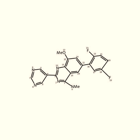 CNc1nc(-c2cncnc2)nc2c(OC)cc(-c3cc(F)ccc3F)cc12